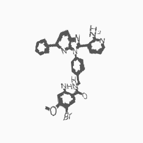 COc1cc(N)c(C(=O)NCc2ccc(-n3c(-c4cccnc4N)nc4ccc(-c5ccccc5)nc43)cc2)cc1Br